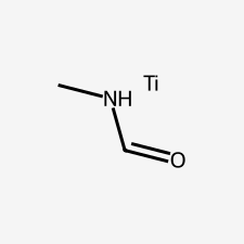 CNC=O.[Ti]